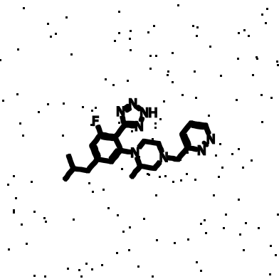 CC(C)Cc1cc(F)c(-c2nn[nH]n2)c(N2CCN(Cc3cccnn3)CC2C)c1